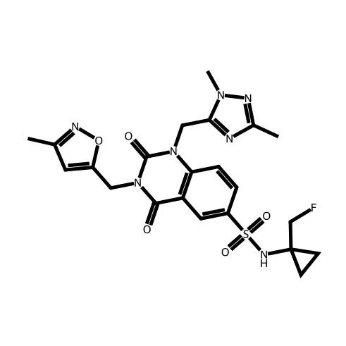 Cc1cc(Cn2c(=O)c3cc(S(=O)(=O)NC4(CF)CC4)ccc3n(Cc3nc(C)nn3C)c2=O)on1